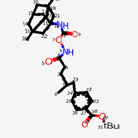 CC(CCC(=O)NOC(=O)NC12CC3CC(C)(CC(C)(C3)C1)C2)Cc1ccc(C(=O)OC(C)(C)C)cc1